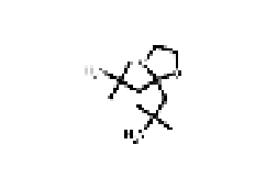 CC(C)(N)CC1(CC(C)(C)N)OCCO1